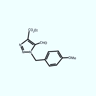 CCOC(=O)c1nnn(Cc2ccc(OC)cc2)c1C=O